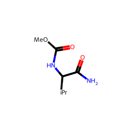 COC(=O)NC(C(N)=O)C(C)C